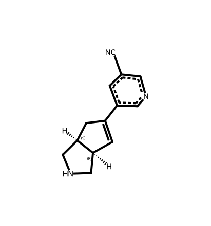 N#Cc1cncc(C2=C[C@H]3CNC[C@H]3C2)c1